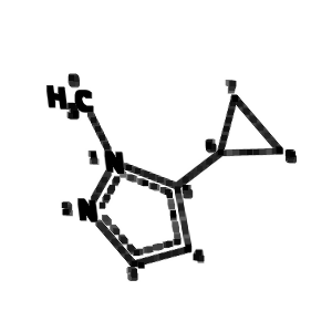 Cn1n[c]cc1C1CC1